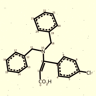 O=C(O)/C=C(\c1ccc(Cl)cc1)N(Cc1ccccc1)Cc1ccccc1